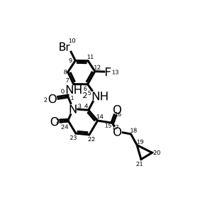 NC(=O)n1c(Nc2ccc(Br)cc2F)c(C(=O)OCC2CC2)ccc1=O